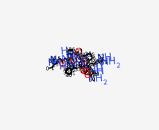 CCc1cn(CC(=O)N[C@@H](C)C(=O)N2CCC[C@H]2C(=O)N[C@H](CC2CCCCC2)C(=O)N[C@@H](Cc2c[nH]c3ccccc23)C(=O)N[C@@H](CCCNC(=N)N)C(=O)N[C@@H](C)C(N)=O)nn1